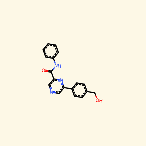 O=C(Nc1ccccc1)c1cncc(-c2ccc(CO)cc2)n1